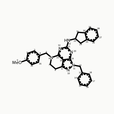 COc1ccc(CN2CCc3nn(Cc4ccccc4)c4nc(NC5Cc6ccccc6C5)nc2c34)cc1